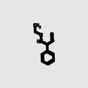 CCONC([C]=O)c1ccccc1